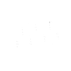 CC(C)c1ccc[c]c1-c1cccc2ccccc12